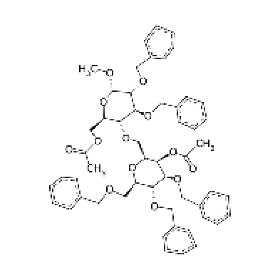 CO[C@H]1O[C@H](COC(C)=O)[C@@H](OC[C@@H]2O[C@H](COCc3ccccc3)[C@@H](OCc3ccccc3)[C@H](OCc3ccccc3)[C@@H]2OC(C)=O)[C@H](OCc2ccccc2)[C@H]1OCc1ccccc1